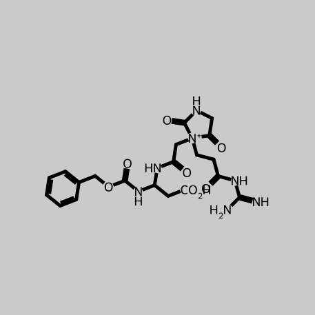 N=C(N)NC(=O)CC[N+]1(CC(=O)NC(CC(=O)O)NC(=O)OCc2ccccc2)C(=O)CNC1=O